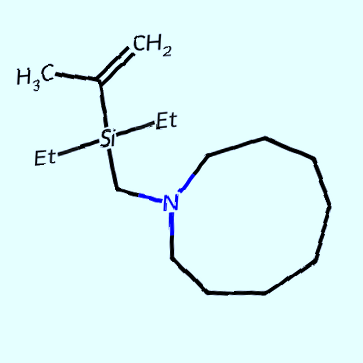 C=C(C)[Si](CC)(CC)CN1CCCCCCCC1